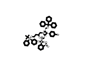 CC(C)(C)[Si](OCCC(O)CN1[C@H](COC(c2ccccc2)(c2ccccc2)c2ccccc2)[C@H](c2ccc(Br)cc2)[C@@H]1CNS(=O)(=O)c1ccccc1[N+](=O)[O-])(c1ccccc1)c1ccccc1